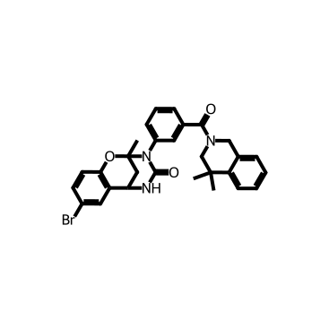 CC1(C)CN(C(=O)c2cccc(N3C(=O)NC4CC3(C)Oc3ccc(Br)cc34)c2)Cc2ccccc21